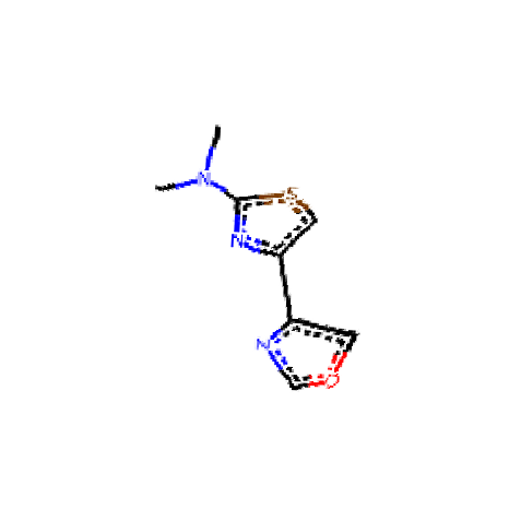 CN(C)c1nc(-c2cocn2)cs1